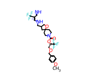 COc1ccc(COC[C@@H](OC(=O)N2CCC3(CC2)CC(CN/C=C(\C=N)C(F)(F)F)CO3)C(F)(F)F)cc1